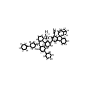 CC1(C)c2cccc(N(c3ccc(-c4ccccc4)cc3)c3ccc(-c4ccccc4)cc3)c2-c2cccc(-c3cc(C#N)c4c(c3)-c3ccccc3C43C4CC5CC(C4)CC3C5)c21